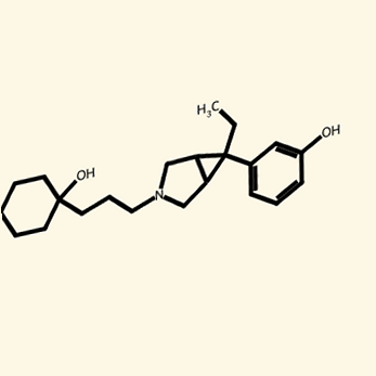 CCC1(c2cccc(O)c2)C2CN(CCCC3(O)CCCCC3)CC21